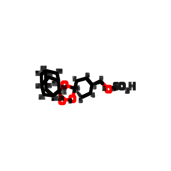 O=S(=O)(O)OC[C@H]1CC[C@]2(CC1)OO[C@]1(O2)C2CC3CC(C2)CC1C3